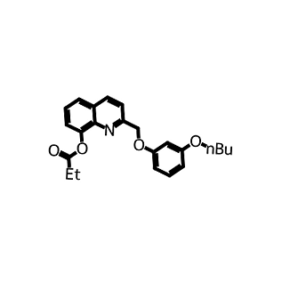 CCCCOc1cccc(OCc2ccc3cccc(OC(=O)CC)c3n2)c1